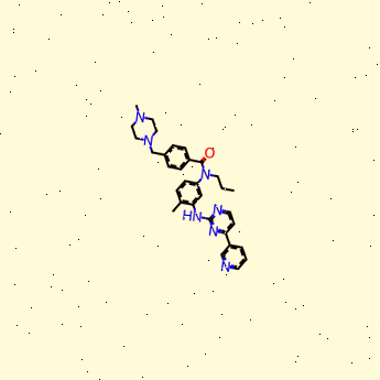 CCCN(C(=O)c1ccc(CN2CCN(C)CC2)cc1)c1ccc(C)c(Nc2nccc(-c3cccnc3)n2)c1